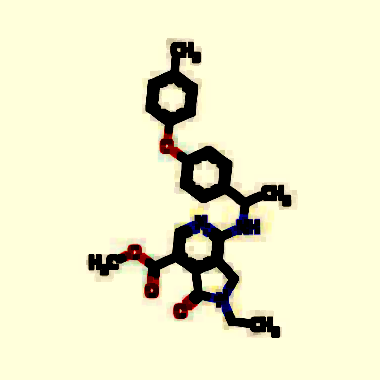 CCN1Cc2c(NC(C)c3ccc(Oc4ccc(C)cc4)cc3)ncc(C(=O)OC)c2C1=O